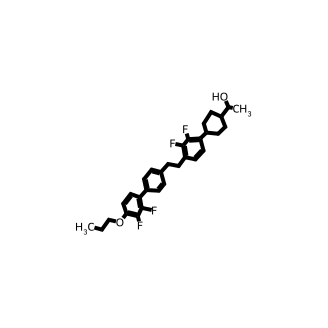 CCCOc1ccc(-c2ccc(CCc3ccc(C4CCC(C(C)O)CC4)c(F)c3F)cc2)c(F)c1F